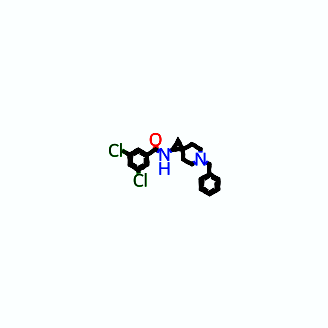 O=C(NC1CC12CCN(Cc1ccccc1)CC2)c1cc(Cl)cc(Cl)c1